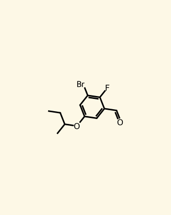 CCC(C)Oc1cc(Br)c(F)c(C=O)c1